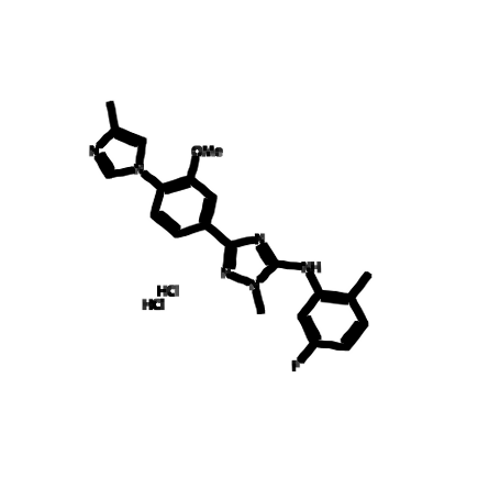 COc1cc(-c2nc(Nc3cc(F)ccc3C)n(C)n2)ccc1-n1cnc(C)c1.Cl.Cl